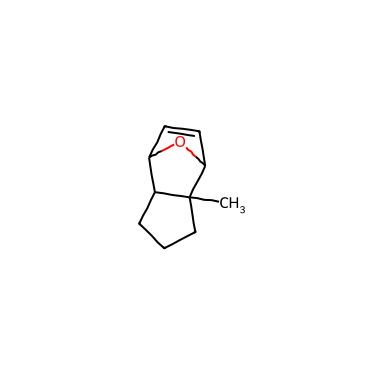 CC12CCCC1C1C=CC2O1